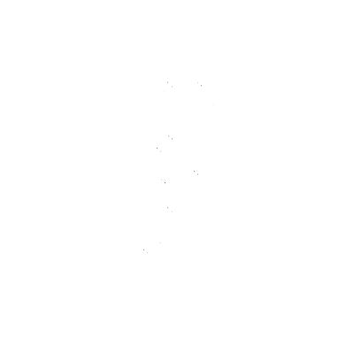 CC1(N)CCN(c2cnc3c(Sc4ccnc(N)c4Cl)n[nH]c3n2)CC1